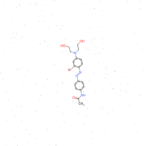 CC(=O)Nc1ccc(N=Nc2ccc(N(CCO)CCO)cc2Br)cc1